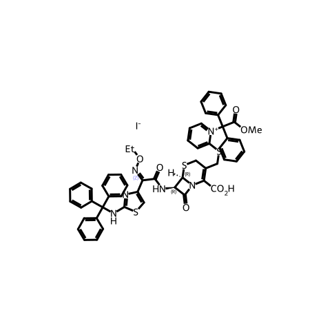 CCO/N=C(\C(=O)N[C@@H]1C(=O)N2C(C(=O)O)=C(CSc3cccc[n+]3C(C(=O)OC)(c3ccccc3)c3ccccc3)CS[C@H]12)c1csc(NC(c2ccccc2)(c2ccccc2)c2ccccc2)n1.[I-]